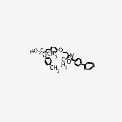 Cc1ccc(O[C@](C)(Cc2ccc(OCCc3nc(-c4ccc(-c5ccccc5)cc4)oc3C)cc2)C(=O)O)cc1